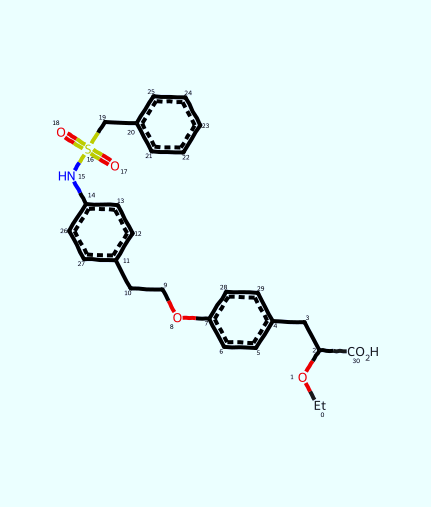 CCOC(Cc1ccc(OCCc2ccc(NS(=O)(=O)Cc3ccccc3)cc2)cc1)C(=O)O